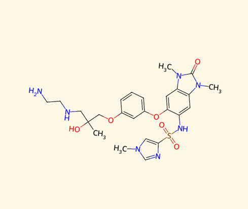 Cn1cnc(S(=O)(=O)Nc2cc3c(cc2Oc2cccc(OCC(C)(O)CNCCN)c2)n(C)c(=O)n3C)c1